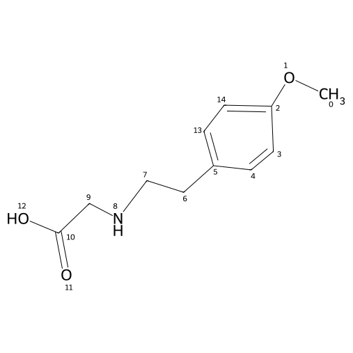 COc1ccc(CCNCC(=O)O)cc1